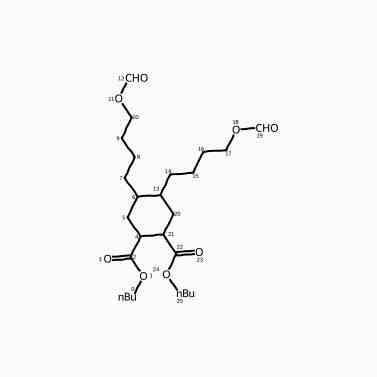 CCCCOC(=O)C1CC(CCCCOC=O)C(CCCCOC=O)CC1C(=O)OCCCC